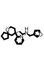 c1ccc([C@]2(CCNCc3ccoc3)CCOC3(CCCC3)C2)nc1